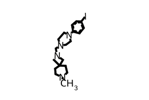 CN1CCC2(CC1)CN(CN1CCN(c3ccc(I)cc3)CC1)C2